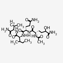 CCC(C)[C@H](NC(=O)[C@H](CCC(N)=O)NC(=O)[C@H](CCC(O)C(N)=O)NC(C)=O)C(=O)N[C@H](C(N)=O)C(C)C